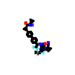 CC(C)(F)C[C@H](N[C@@H](c1ccc(-c2ccc([C@@H]3C[C@H]3C(=O)NC3CC3)cc2)cc1)C(F)F)C(=O)NC1(C#N)CC1